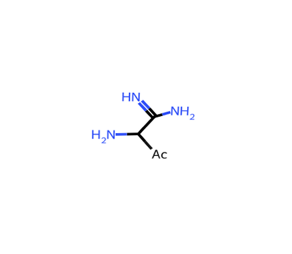 CC(=O)C(N)C(=N)N